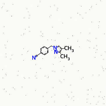 Cc1cn(Cc2ccc(C#N)cc2)nc1C